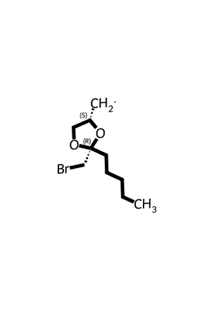 [CH2][C@H]1CO[C@](CBr)(CCCCC)O1